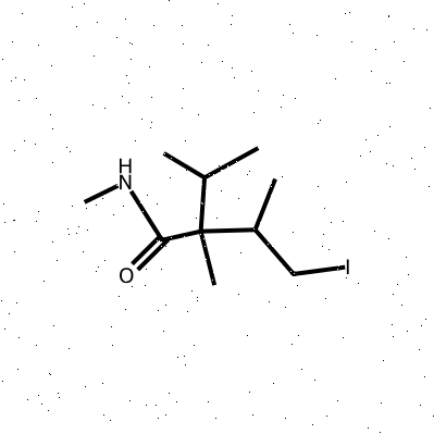 CNC(=O)C(C)(C(C)C)C(C)CI